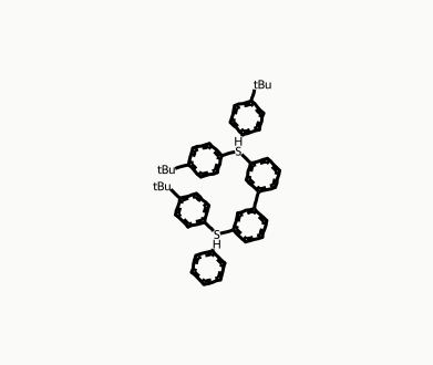 CC(C)(C)c1ccc([SH](c2ccccc2)c2cccc(-c3cccc([SH](c4ccc(C(C)(C)C)cc4)c4ccc(C(C)(C)C)cc4)c3)c2)cc1